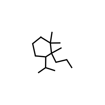 CCCC1(C)C(C(C)C)CC[C]C1(C)C